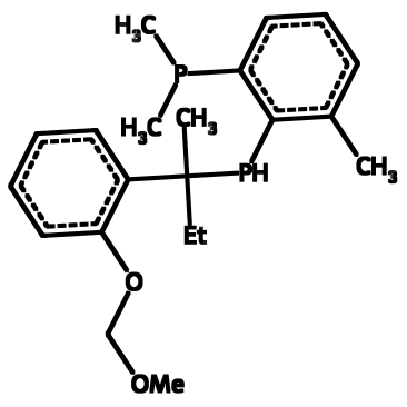 CCC(C)(Pc1c(C)cccc1P(C)C)c1ccccc1OCOC